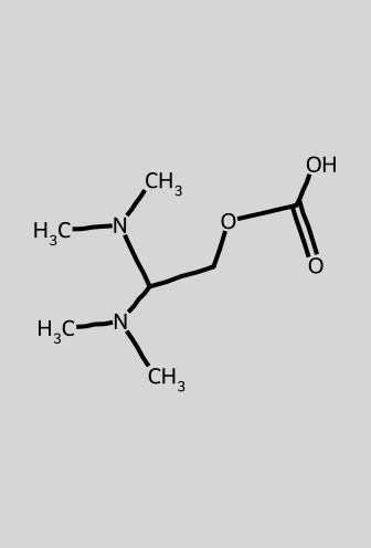 CN(C)C(COC(=O)O)N(C)C